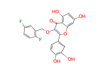 O=c1c(OCc2cc(F)ccc2F)c(-c2ccc(O)c(O)c2)oc2cc(O)cc(O)c12